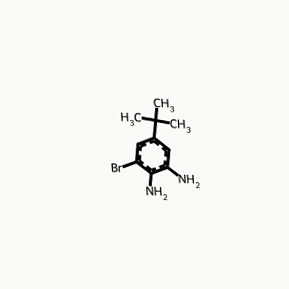 CC(C)(C)c1cc(N)c(N)c(Br)c1